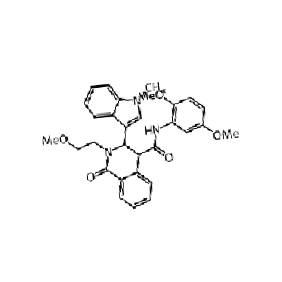 COCCN1C(=O)c2ccccc2C(C(=O)Nc2cc(OC)ccc2OC)C1c1cn(C)c2ccccc12